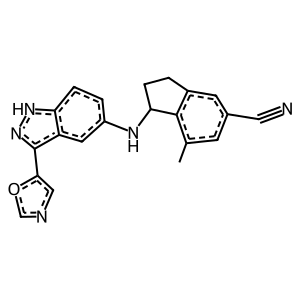 Cc1cc(C#N)cc2c1C(Nc1ccc3[nH]nc(-c4cnco4)c3c1)CC2